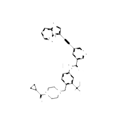 O=C(Nc1ccc(CN2CCN(C(=O)C3CC3)CC2)c(C(F)(F)F)c1)c1cncc(C#Cc2cnc3cccnn23)c1